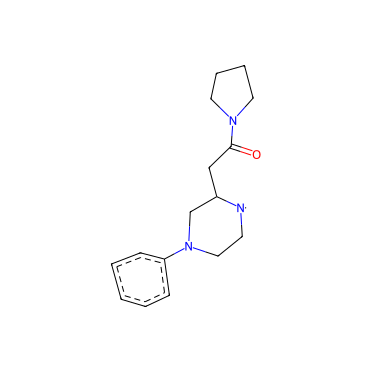 O=C(CC1CN(c2ccccc2)CC[N]1)N1CCCC1